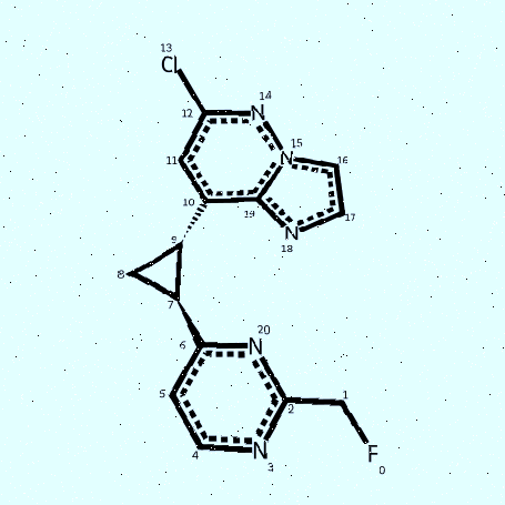 FCc1nccc([C@H]2C[C@@H]2c2cc(Cl)nn3ccnc23)n1